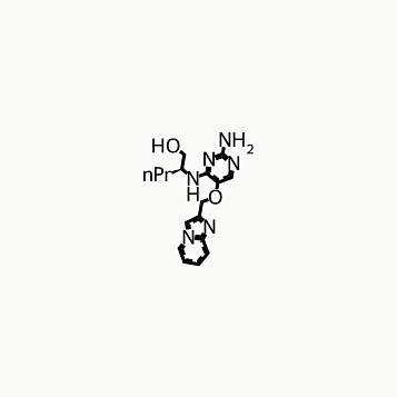 CCC[C@@H](CO)Nc1nc(N)ncc1OCc1cn2ccccc2n1